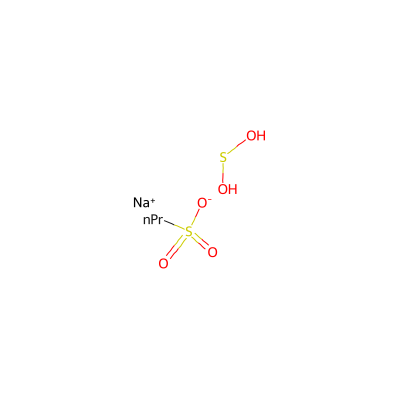 CCCS(=O)(=O)[O-].OSO.[Na+]